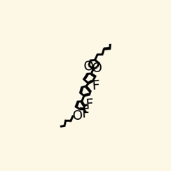 C/C=C/CCC1COC(c2ccc(-c3ccc(-c4ccc(OCCCCC)c(F)c4F)cc3)c(F)c2)OC1